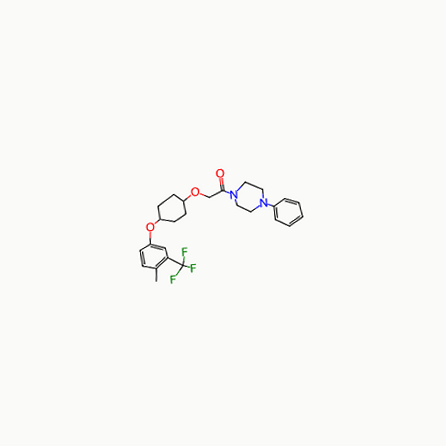 Cc1ccc(OC2CCC(OCC(=O)N3CCN(c4ccccc4)CC3)CC2)cc1C(F)(F)F